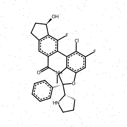 CNC(=O)c1cc2c(c(F)c1-c1c(Cl)c(F)cc3c1C[C@](c1ccccc1)([C@@H]1CCCN1)O3)[C@H](O)CC2